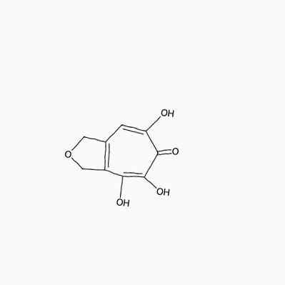 O=c1c(O)cc2c(c(O)c1O)COC2